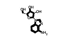 Nc1cccc2c1ncn2[C@@H]1O[C@H](CO)C(O)[C@@H]1O